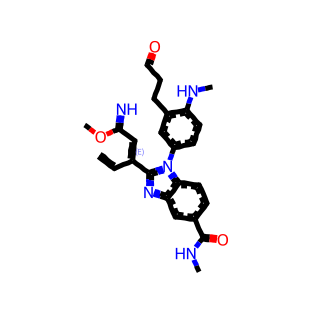 C=C/C(=C\C(=N)OC)c1nc2cc(C(=O)NC)ccc2n1-c1ccc(NC)c(CCC=O)c1